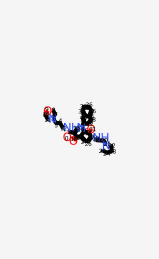 O=C(NCCCN1CCOCC1)c1cn2c3c(c(NCCN4CCCC4)ccc3c1=O)Oc1cc3ccccc3cc1-2